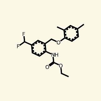 CCOC(=O)Nc1ccc(C(F)F)cc1COc1ccc(C)cc1C